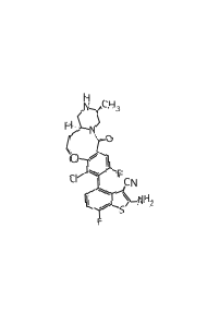 C[C@H]1CN2C(=O)c3cc(F)c(-c4ccc(F)c5sc(N)c(C#N)c45)c(Cl)c3OCC[C@H]2CN1